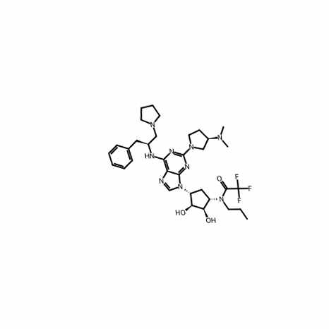 CCCN(C(=O)C(F)(F)F)[C@H]1C[C@@H](n2cnc3c(N[C@@H](Cc4ccccc4)CN4CCCC4)nc(N4CC[C@@H](N(C)C)C4)nc32)[C@H](O)[C@@H]1O